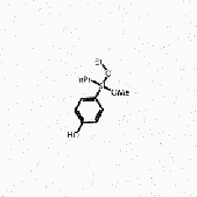 CCC[Si](OC)(OCC)c1ccc(O)cc1